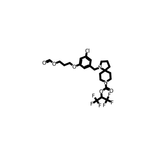 O=COCCCOc1cc(Cl)cc(CN2CCCC23CCN(C(=O)OC(C(F)(F)F)C(F)(F)F)CC3)c1